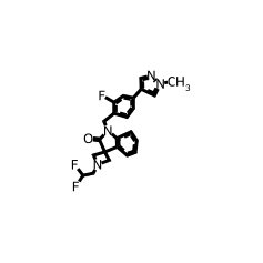 Cn1cc(-c2ccc(CN3C(=O)C4(CN(CC(F)F)C4)c4ccccc43)c(F)c2)cn1